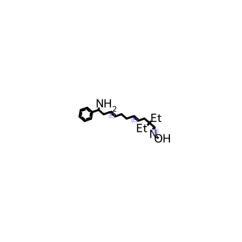 CCC(/C=N/O)(CC)C/C=C/CC/C=C/CC(N)c1ccccc1